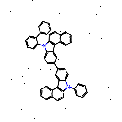 c1ccc(-c2ccccc2-n2c3ccc(-c4ccc5c(c4)c4c6ccccc6ccc4n5-c4ccccc4)cc3c3c4ccccc4ccc32)cc1